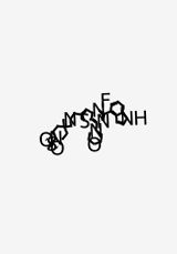 CS(=O)(=O)N1CCC2(CC1)CN(Cc1cc3nc(-c4c(F)ccc5[nH]ccc45)nc(N4CCOCC4)c3s1)C2